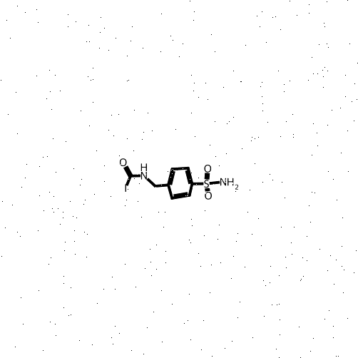 NS(=O)(=O)c1ccc(CNC(=O)I)cc1